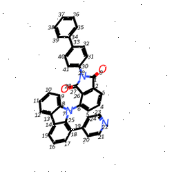 O=C1c2cccc(-n3c4ccccc4c4cccc(-c5ccncc5)c43)c2C(=O)N1c1ccc(-c2ccccc2)cc1